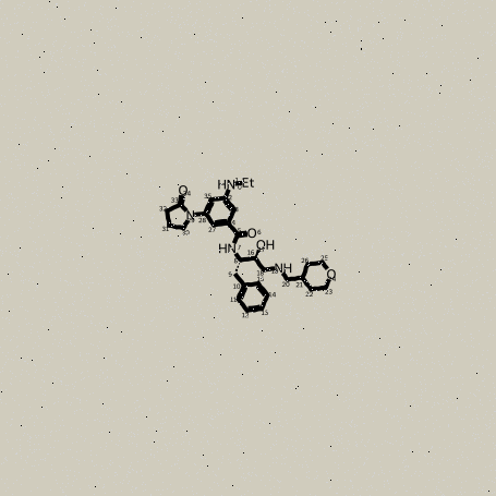 CCNc1cc(C(=O)N[C@@H](Cc2ccccc2)[C@@H](O)CNCC2CCOCC2)cc(N2CCCC2=O)c1